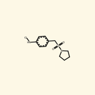 O=S(=O)(Cc1ccc(NCl)cc1)N1CCCC1